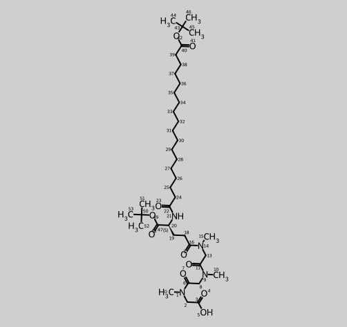 CN(CC(=O)O)C(=O)CN(C)C(=O)CN(C)C(=O)CC[C@H](NC(=O)CCCCCCCCCCCCCCCCC(=O)OC(C)(C)C)C(=O)OC(C)(C)C